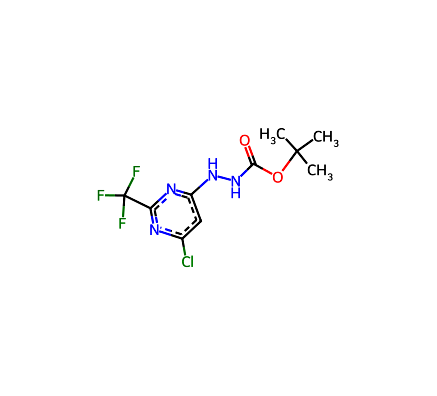 CC(C)(C)OC(=O)NNc1cc(Cl)nc(C(F)(F)F)n1